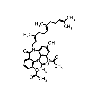 CC(=O)Oc1cccc2c1N(C(C)=O)c1c(OC(C)=O)cc(O)cc1N(C/C=C(\C)CC/C=C(\C)CCC=C(C)C)C2=O